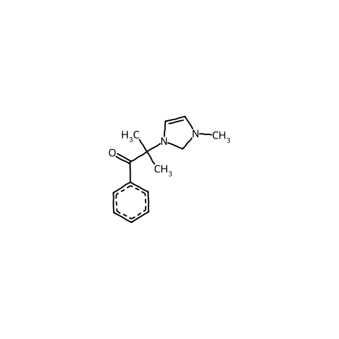 CN1C=CN(C(C)(C)C(=O)c2ccccc2)C1